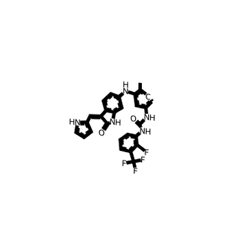 Cc1ccc(NC(=O)Nc2cccc(C(F)(F)F)c2F)cc1Nc1ccc2c(c1)NC(=O)/C2=C\c1ccc[nH]1